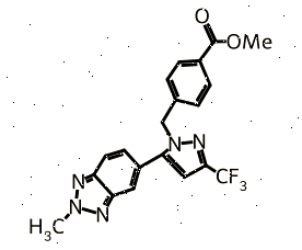 COC(=O)c1ccc(Cn2nc(C(F)(F)F)cc2-c2ccc3nn(C)nc3c2)cc1